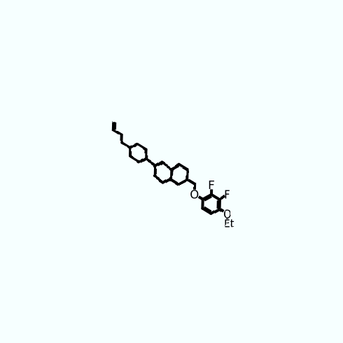 C=CCCC1CCC(C2CCC3CC(COc4ccc(OCC)c(F)c4F)CCC3C2)CC1